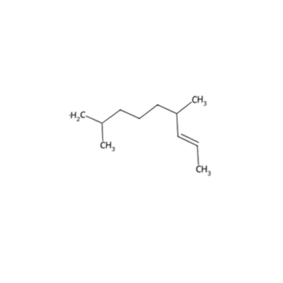 [CH2]C(C)CCCC(C)C=CC